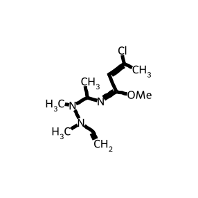 C=CN(C)N(C)C(C)/N=C(\C=C(/C)Cl)OC